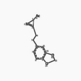 CC(=O)C1N=C1CCc1ccc2c(c1)OCO2